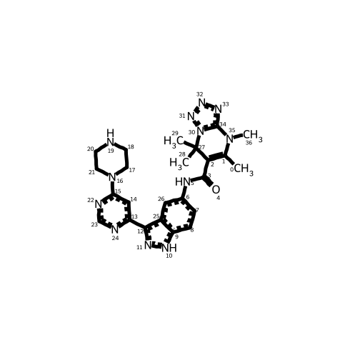 CC1=C(C(=O)Nc2ccc3[nH]nc(-c4cc(N5CCNCC5)ncn4)c3c2)C(C)(C)n2nnnc2N1C